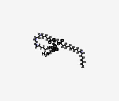 CCCCC/C=C\C/C=C\C/C=C\CCCCC(=O)O[C@H](COC(=O)CCCCCCCCC/C=C\CCCCCC)COP(=O)(O)OCCN